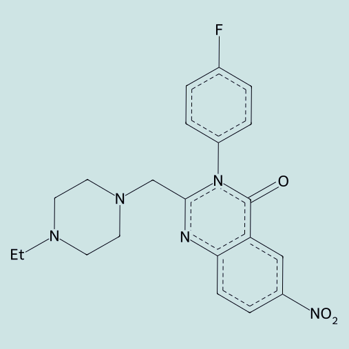 CCN1CCN(Cc2nc3ccc([N+](=O)[O-])cc3c(=O)n2-c2ccc(F)cc2)CC1